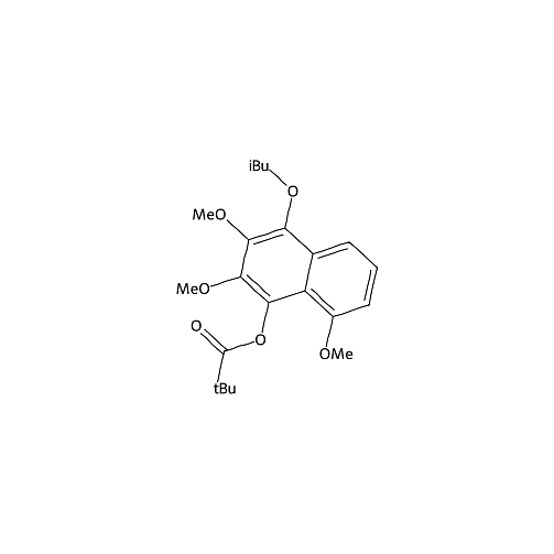 CCC(C)Oc1c(OC)c(OC)c(OC(=O)C(C)(C)C)c2c(OC)cccc12